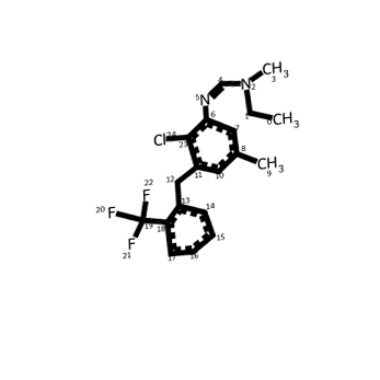 CCN(C)/C=N\c1cc(C)cc(Cc2ccccc2C(F)(F)F)c1Cl